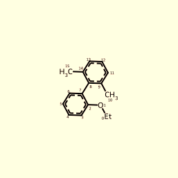 CCOc1ccccc1-c1c(C)cccc1C